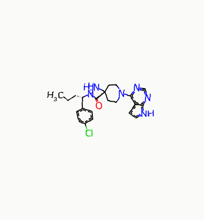 CCC[C@H](NC(=O)C1(N)CCN(c2ncnc3[nH]ccc23)CC1)c1ccc(Cl)cc1